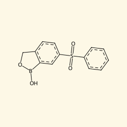 O=S(=O)(c1ccccc1)c1ccc2c(c1)B(O)OC2